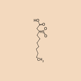 C=CCCCCCCC(CC(=O)O)[SH](=O)=O